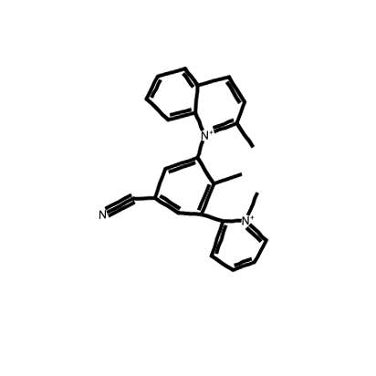 Cc1c(-c2cccc[n+]2C)cc(C#N)cc1-[n+]1c(C)ccc2ccccc21